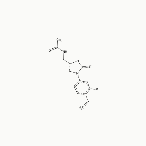 C=Cc1ccc(N2CC(CNC(C)=O)OC2=O)cc1F